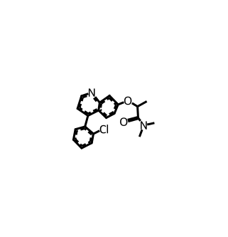 CC(Oc1ccc2c(-c3ccccc3Cl)ccnc2c1)C(=O)N(C)C